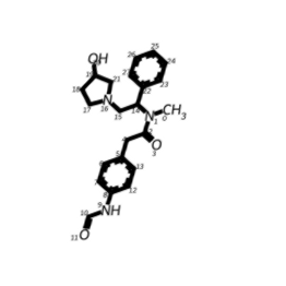 CN(C(=O)Cc1ccc(NC=O)cc1)C(CN1CCC(O)C1)c1ccccc1